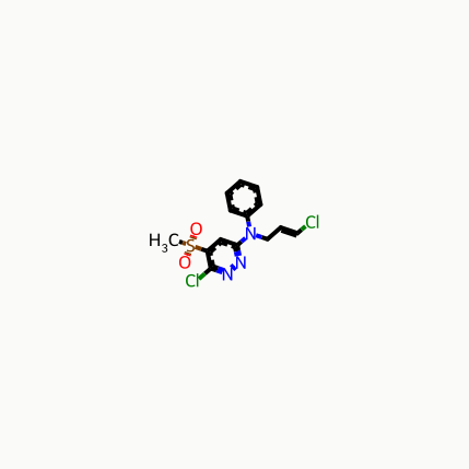 CS(=O)(=O)c1cc(N(CC=CCl)c2ccccc2)nnc1Cl